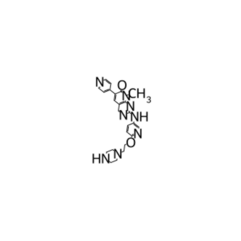 Cn1c(=O)c(-c2ccncc2)cc2cnc(Nc3ccc(OCCN4CCNCC4)nc3)nc21